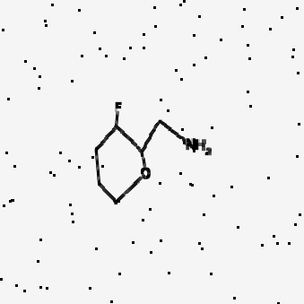 NCC1OCCCC1F